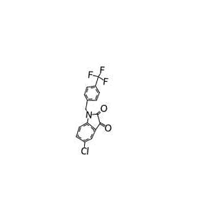 O=C1C(=O)N(Cc2ccc(C(F)(F)F)cc2)c2ccc(Cl)cc21